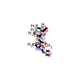 COC(F)(F)[C@@H](NC(=O)[C@H](CC(C)C)NC(=O)CN1CCOCC1)C(=O)N[C@@H](C(=O)N[C@@H](CC(C)C)C(=O)[C@@]1(C)CO1)C(F)(F)OC